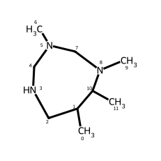 CC1CNCN(C)CN(C)C1C